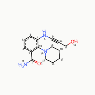 NC(=O)c1cccc(NC#CCO)c1N1CCCCC1